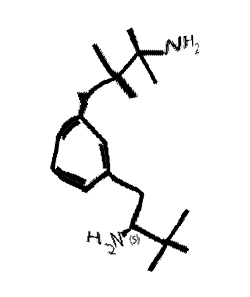 CC(C)(C)[C@@H](N)Cc1cccc(CC(C)(C)C(C)(C)N)c1